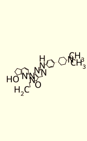 C=CCn1c(=O)c2cnc(Nc3ccc([C@H]4CC[C@@H](N(C)C)CC4)cc3)nc2n1-c1ccc2c(n1)C(O)CC2